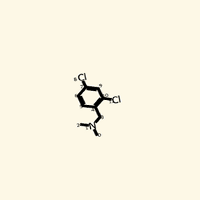 CN(C)Cc1ccc(Cl)cc1Cl